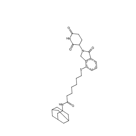 O=C1CCC(N2Cc3c(SCCCCCCC(=O)NC45CC6CC(CC(C6)C4)C5)cccc3C2=O)C(=O)N1